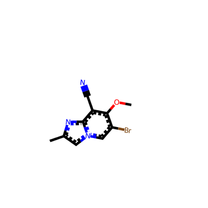 COc1c(Br)cn2cc(C)nc2c1C#N